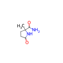 CC1(C(N)=O)CCC(=O)N1